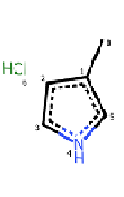 Cc1cc[nH]c1.Cl